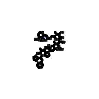 CCC(C)C(C(CC(=O)N1CCCC1C(OC)C(C)C(=O)NC(Cc1ccccc1)c1nccs1)OC)N(C)C(=O)C(NC(=O)C(C(C)C)N(C)C(=O)CO/N=C/C1OCCC(O)C1NC(C)=O)C(C)C